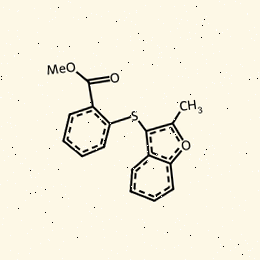 COC(=O)c1ccccc1Sc1c(C)oc2ccccc12